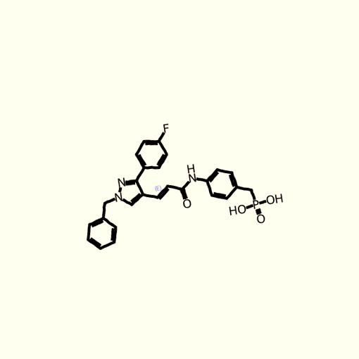 O=C(/C=C/c1cn(Cc2ccccc2)nc1-c1ccc(F)cc1)Nc1ccc(CP(=O)(O)O)cc1